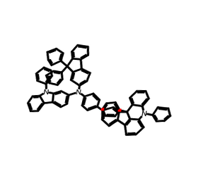 c1ccc(N2c3ccccc3C3(c4ccccc4)c4cc(-c5ccc(N(c6ccc7c(c6)C(c6ccccc6)(c6ccccc6)c6ccccc6-7)c6ccc7c8ccccc8n(-c8ccccc8)c7c6)cc5)ccc4-c4cccc2c43)cc1